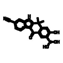 CC1(C)c2cc(O)c(N(O)O)cc2C(=O)c2c1[nH]c1cc(C#N)ccc21